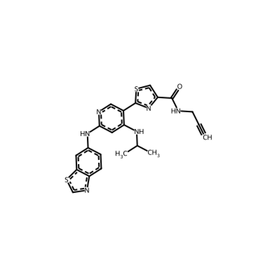 C#CCNC(=O)c1csc(-c2cnc(Nc3ccc4ncsc4c3)cc2NC(C)C)n1